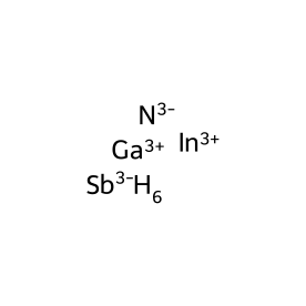 [Ga+3].[In+3].[N-3].[SbH6-3]